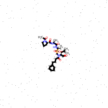 CC(=O)N1CCC[C@H]1C(=O)N[C@@H](C)C(=O)N[C@@H](C)P(=O)(O)CN(C(=O)CCCc1ccccc1)[C@H]([C]=O)CC(C)C